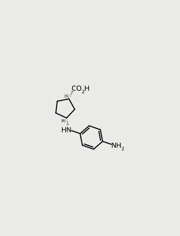 Nc1ccc(N[C@@H]2CC[C@H](C(=O)O)C2)cc1